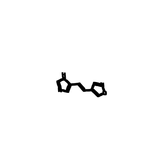 C(=Cc1cnc[nH]1)c1cnoc1